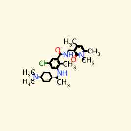 Cc1cc(C)n(C)c(=O)c1CNC(=O)c1cc(Cl)cc(NC(C)[C@H]2CC[C@H](N(C)C)CC2)c1C